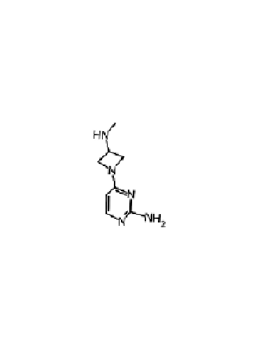 CNC1CN(c2ccnc(N)n2)C1